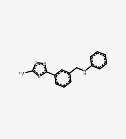 Cc1nc(-c2cccc(CNc3ccccc3)c2)no1